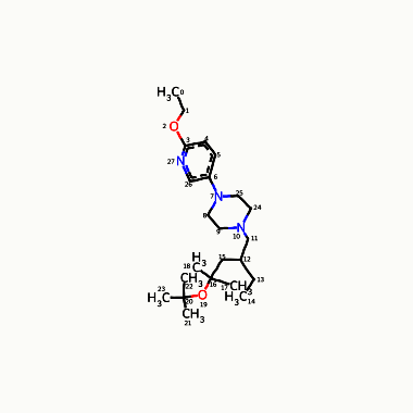 CCOc1ccc(N2CCN(CC(CC)CC(C)(C)OC(C)(C)C)CC2)cn1